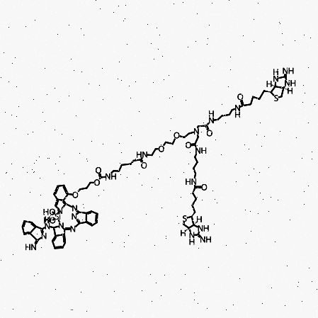 N=C1N[C@H]2[C@H](CS[C@H]2CCCCC(=O)NCCCCNC(=O)CN(CCOCCOCCNC(=O)CCCCCNC(=O)OCCCOc2cccc3cn4c(c23)/N=C2N=C(/N=C3/c5ccccc5C(NC5=NC(=N)c6ccccc65)N3[Si]4(O)O)c3ccccc3\2)CC(=O)NCCCCNC(=O)CCCC[C@@H]2SC[C@@H]3NC(=N)N[C@@H]32)N1